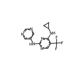 FC(F)(F)c1cnc(Nc2cncnc2)nc1NC1CC1